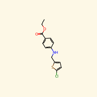 CCOC(=O)c1ccc(NCc2ccc(Cl)s2)cc1